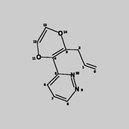 C=CCC1=C(c2cccnn2)OC=CO1